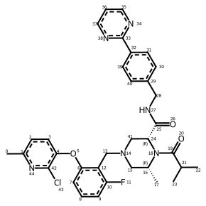 Cc1ccc(Oc2cccc(F)c2CN2C[C@@H](C)N(C(=O)C(C)C)[C@@H](C(=O)NCc3ccc(-c4ncccn4)cc3)C2)c(Cl)n1